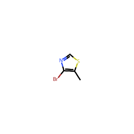 Cc1s[c]nc1Br